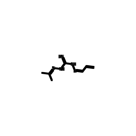 C=C/C=N\NC(=N)NN=C(C)C